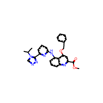 COC(=O)c1cc(OCc2ccccc2)c2c(Nc3cccc(-c4nncn4C(C)C)n3)cccc2n1